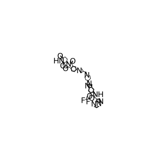 O=C1CCC(N2C(=O)c3ccc(N4CC(CN5CCC(n6cc7cc(NC(=O)c8cnn9cccnc89)c(OCC(F)F)cc7n6)CC5)C4)cc3C2=O)C(=O)N1